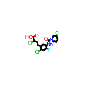 O=C(O)C(Cl)CCc1cc(-n2nc3ccc(Cl)cn3c2=O)c(F)cc1Cl